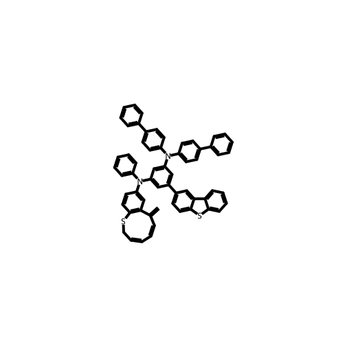 C=C1/C=C\C=C/CSc2ccc(N(c3ccccc3)c3cc(-c4ccc5sc6ccccc6c5c4)cc(N(c4ccc(-c5ccccc5)cc4)c4ccc(-c5ccccc5)cc4)c3)cc21